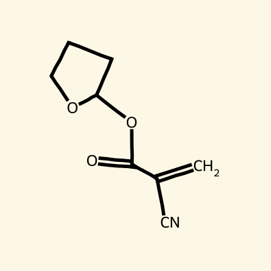 C=C(C#N)C(=O)OC1CCCO1